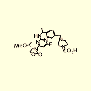 COC(C)[C@H]1COC(=O)N1c1cc(F)nc(NC(C)c2ccc(CN3CCN(C(=O)O)CC3)cc2)n1